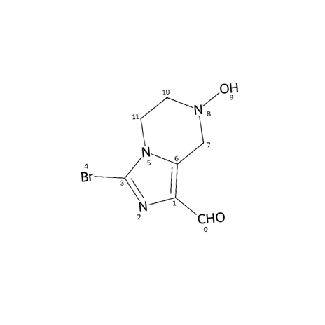 O=Cc1nc(Br)n2c1CN(O)CC2